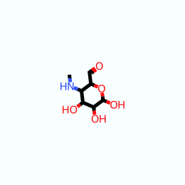 CNC1C(C=O)OC(O)C(O)C1O